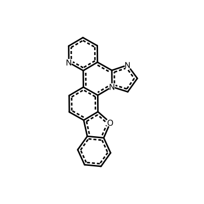 c1ccc2c(c1)oc1c2ccc2c3ncccc3c3nccn3c21